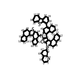 c1cnc2cc(-n3c4ccc5ccccc5c4c4c5c6c7ccccc7c(-c7cccc8c7sc7ccccc78)cc6n(-c6cc7sc8ccc9ccccc9c8c7c7ccccc67)c5oc43)ccc2c1